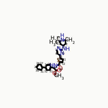 C=C1CC(Nc2nccc(-c3ccc(C(=O)NC(C(=O)OC)c4ccc(-c5ccccc5)cc4)s3)n2)CC(C)(C)N1